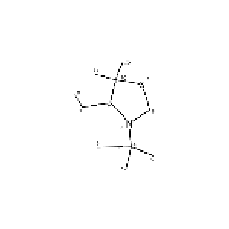 CCC1N(C(C)(C)C)CSC1(C)C